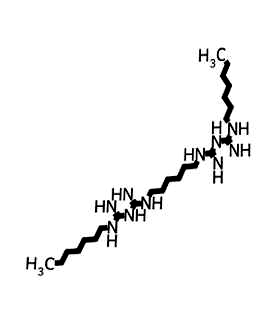 CCCCCCCNC(=N)NC(=N)NCCCCCCNC(=N)NC(=N)NCCCCCCC